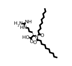 CCCCCCCCCC(=O)N(C(=O)CCCCCCCCC)[C@@H](CCCNC(=N)N)C(=O)O